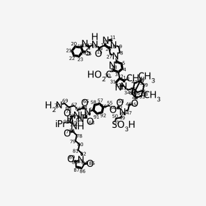 Cc1c(-c2ccc(N3CCn4cnc(C(=O)Nc5nc6ccccc6s5)c4C3)nc2C(=O)O)cnn1CC12CC3(C)CC(C)(C1)CC(OCCN(CCS(=O)(=O)O)C(=O)OCc1ccc(N(C(N)=O)C(=O)[C@H](CCCN)NC(=O)[C@@H](NC(=O)CCCCCN4C(=O)C=CC4=O)C(C)C)cc1)(C3)C2